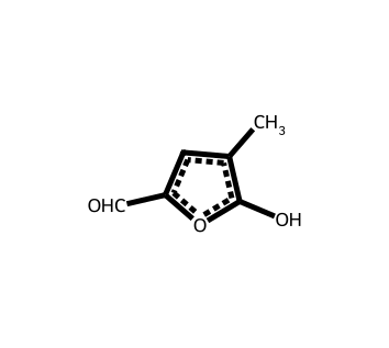 Cc1cc(C=O)oc1O